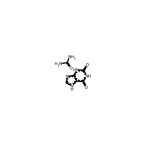 NC(N)=O.O=c1[nH]c(=O)c2[nH]cnc2[nH]1